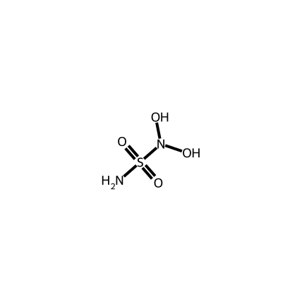 NS(=O)(=O)N(O)O